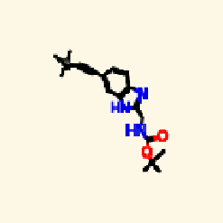 CC(C)(C)OC(=O)NCc1nc2ccc(C#C[Si](C)(C)C)cc2[nH]1